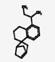 CCC(C)c1cccc2c1CCCC21CC2=CCC1C2